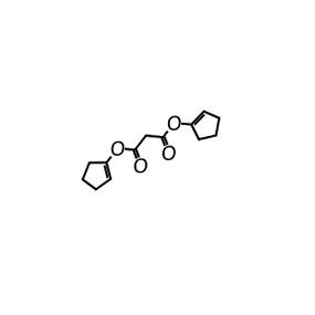 O=C(CC(=O)OC1=CCCC1)OC1=CCCC1